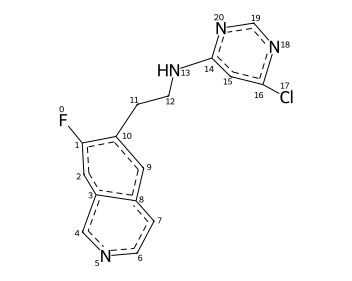 Fc1cc2cnccc2cc1CCNc1cc(Cl)ncn1